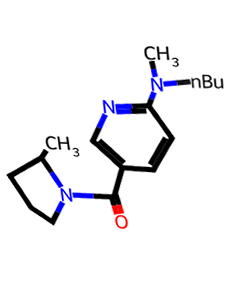 CCCCN(C)c1ccc(C(=O)N2CCCC2C)cn1